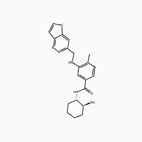 Cc1ccc(C(=O)N[C@H]2CCCC[C@@H]2O)cc1NCc1cnc2ccsc2c1